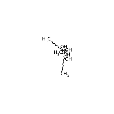 CCCCCCCCC(O)CNC(CC)(NCC(O)CCCCCCCC)C(=O)O